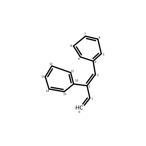 [CH]=CC(=[C]c1ccccc1)c1ccccc1